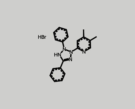 Br.Cc1cnc(N2N=C(c3ccccc3)NN2c2ccccc2)cc1C